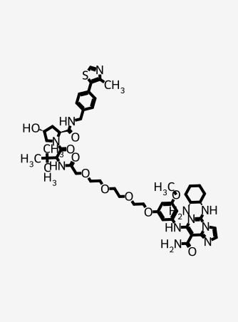 COc1cc(Nc2nc(N[C@H]3CCCC[C@H]3N)n3ccnc3c2C(N)=O)cc(OCCOCCOCCOCC(=O)NC(C(=O)N2C[C@H](O)C[C@H]2C(=O)NCc2ccc(-c3scnc3C)cc2)C(C)(C)C)c1